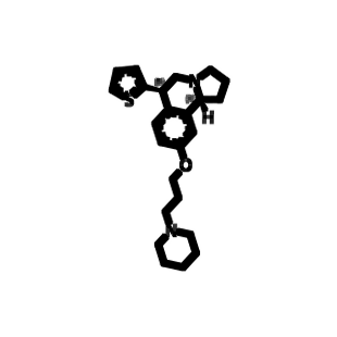 c1csc([C@H]2CN3CCC[C@@H]3c3cc(OCCCN4CCCCC4)ccc32)c1